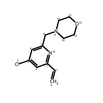 C=Cc1cc(Cl)cc(CN2CCOCC2)n1